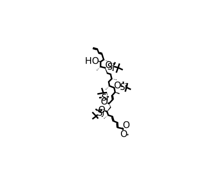 C=CC=C[C@H](C)[C@H](O)[C@@H](C)[C@H](CC[C@H](C)C[C@@H](C)[C@@H](O[Si](C)(C)C(C)(C)C)[C@@H](C)C=C[C@H](C[C@H](O[Si](C)(C)C(C)(C)C)[C@@H](C)C=CC=CC(=O)OC)O[Si](C)(C)C(C)(C)C)O[Si](C)(C)C(C)(C)C